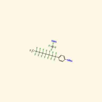 F[B-](F)(F)F.N#N.N#[N+]c1ccc(C(F)(F)C(F)(F)C(F)(F)C(F)(F)C(F)(F)C(F)(F)C(F)(F)C(F)(F)F)cc1